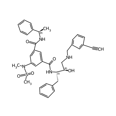 C#Cc1cccc(CNC[C@@H](O)[C@H](Cc2ccccc2)NC(=O)c2cc(C(=O)N[C@H](C)c3ccccc3)cc(N(C)S(C)(=O)=O)c2)c1